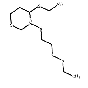 CCSSCCS[SH]1CSCCC1SCS